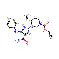 C=C[C@@H]1CCN(C(=O)OCC)C[C@H]1n1cc(C(N)=O)c(Nc2ccc(F)cc2)n1